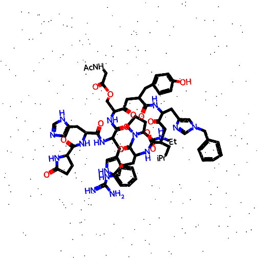 CCNC(=O)C1CCCN1C(=O)C(CCCNC(=N)N)NC(=O)C(CC(=O)C(Cc1cn(Cc2ccccc2)cn1)NC(=O)C(CC(=O)C(COC(=O)CNC(C)=O)NC(=O)C(Cc1c[nH]c2ccccc12)NC(=O)C(Cc1cnc[nH]1)NC(=O)C1CCC(=O)N1)Cc1ccc(O)cc1)CC(C)C